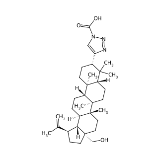 C=C(C)[C@@H]1CC[C@]2(CO)CC[C@]3(C)[C@H](CC[C@@H]4[C@@]5(C)CC[C@H](c6cn(C(=O)O)nn6)C(C)(C)[C@@H]5CC[C@]43C)[C@@H]12